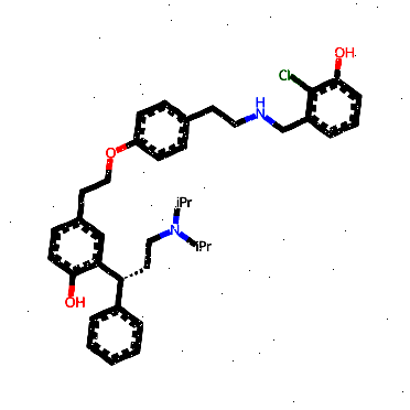 CC(C)N(CC[C@H](c1ccccc1)c1cc(CCOc2ccc(CCNCc3cccc(O)c3Cl)cc2)ccc1O)C(C)C